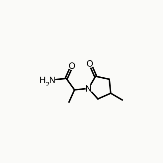 CC1CC(=O)N(C(C)C(N)=O)C1